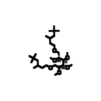 CO[C@@H]([C@H](OC)[C@@H](COCCC(C)CC(C)(C)C)OC)[C@H](COCCC(C)CC(C)(C)C)OC